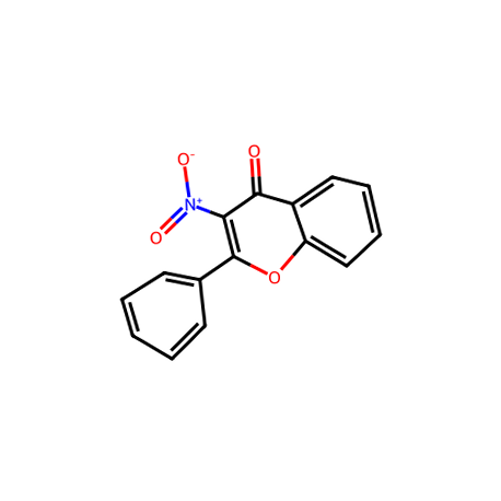 O=c1c([N+](=O)[O-])c(-c2ccccc2)oc2ccccc12